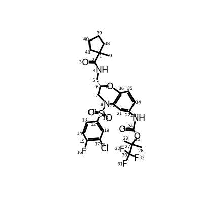 CC1(C(=O)NC[C@H]2CN(S(=O)(=O)c3ccc(F)c(Cl)c3)c3cc(NC(=O)OC(C)(C)C(F)(F)F)ccc3O2)CCCC1